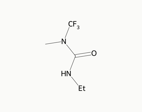 CCNC(=O)N(C)C(F)(F)F